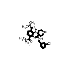 CN(C)C(=O)c1ccc(C(=O)N(C)C)c2c1N=C(NCc1cccc(Cl)c1)C1(CCNCC1)N2